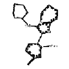 Cc1ccc(-c2nc3ccccn3c2NC2CCCCC2)c(O)c1